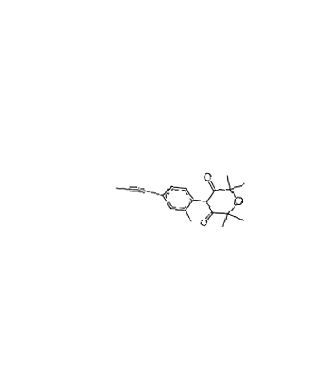 CC#Cc1ccc(C2C(=O)C(C)(C)OC(C)(C)C2=O)c(C)c1